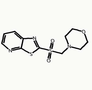 O=S(=O)(CN1CCOCC1)c1nc2cccnc2s1